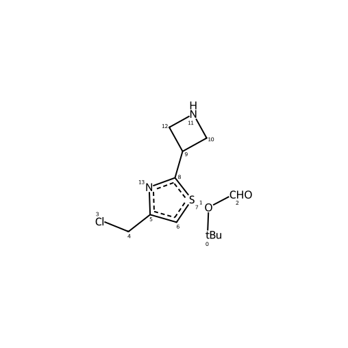 CC(C)(C)OC=O.ClCc1csc(C2CNC2)n1